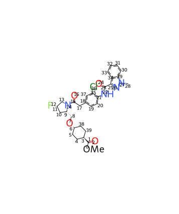 COC(=O)[C@H]1CC[C@H](OC[C@@H]2C[C@H](F)CN2C(=O)Cc2ccc(NC(=O)c3nn(C)c4ccccc34)c(Cl)c2)CC1